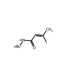 CCCCNC(=O)/C=C(/C)I